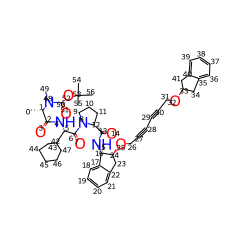 C[C@@H](C(=O)N[C@H](C(=O)N1CCC[C@H]1C(=O)N[C@H]1c2ccccc2C[C@@H]1OCC#CC#CCOC1Cc2ccccc2C1)C1CCCCC1)N(C)C(=O)OC(C)(C)C